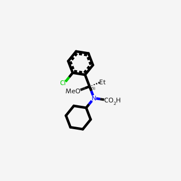 CC[C@](OC)(c1ccccc1Cl)N(C(=O)O)C1CCCCC1